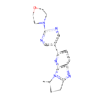 CC1CCc2nc3ccc(-c4cnc(N5CCOCC5)nc4)nc3n21